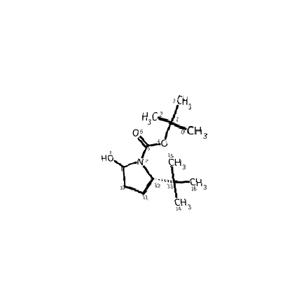 CC(C)(C)OC(=O)N1C(O)CC[C@H]1C(C)(C)C